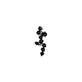 c1ccc(-c2ccc(-c3cccc(-n4c5ccc(-c6ccc7c(c6)n6c8ccccc8nc6n7-c6cccc7c6sc6ncccc67)cc5n5c6ccccc6nc45)c3)cc2)cc1